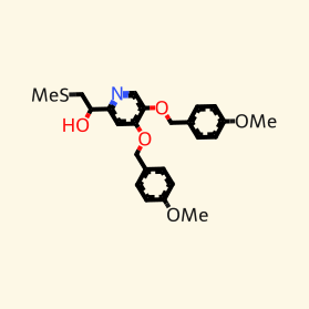 COc1ccc(COc2cnc(C(O)CSC)cc2OCc2ccc(OC)cc2)cc1